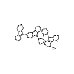 N#Cc1cccc(-n2c3ccccc3c3cc(-n4c5ccccc5c5ccccc54)ccc32)c1-c1ccccc1-n1c2ccccc2c2c(C#N)cccc21